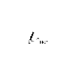 [B+2]C.[OH-].[OH-]